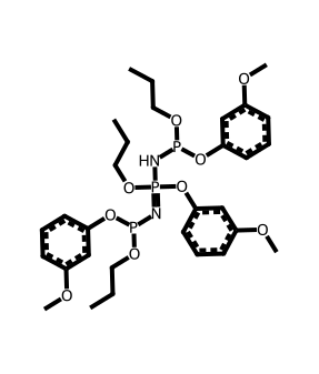 CCCOP(N=P(NP(OCCC)Oc1cccc(OC)c1)(OCCC)Oc1cccc(OC)c1)Oc1cccc(OC)c1